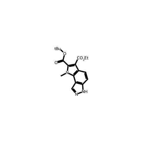 CCOC(=O)c1c(C(=O)OC(C)(C)C)n(C)c2c1ccc1[nH]ncc12